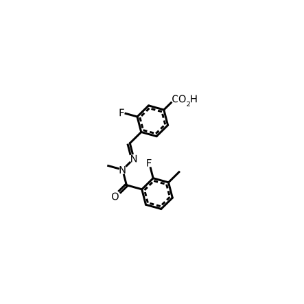 Cc1cccc(C(=O)N(C)N=Cc2ccc(C(=O)O)cc2F)c1F